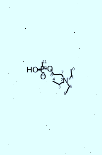 CC[N+](CC)(CC)CCOP(C)(=O)O